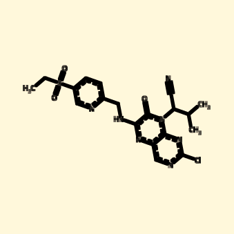 CCS(=O)(=O)c1ccc(CNc2nc3cnc(Cl)nc3n(C(C#N)C(C)C)c2=O)nc1